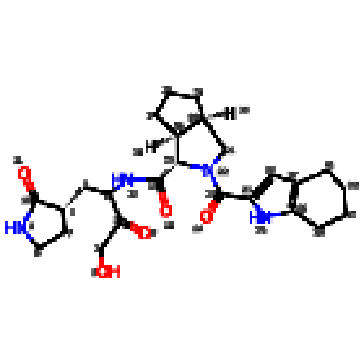 O=C(CO)C(C[C@@H]1CCNC1=O)NC(=O)[C@@H]1[C@H]2CCC[C@H]2CN1C(=O)c1cc2c([nH]1)CCCC2